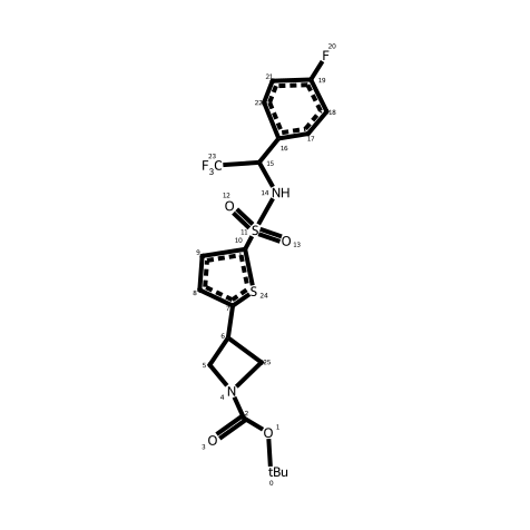 CC(C)(C)OC(=O)N1CC(c2ccc(S(=O)(=O)NC(c3ccc(F)cc3)C(F)(F)F)s2)C1